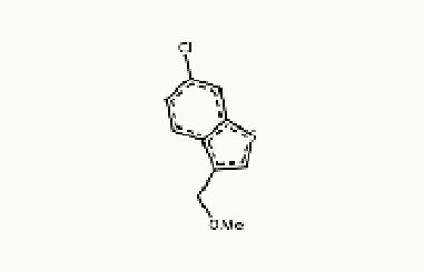 COCc1csc2cc(Cl)ccc12